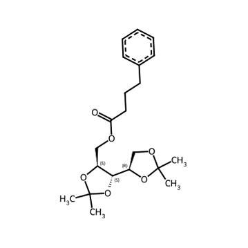 CC1(C)O[C@@H]([C@H]2COC(C)(C)O2)[C@H](COC(=O)CCCc2ccccc2)O1